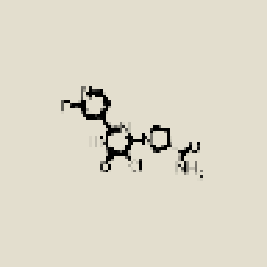 NC(=O)[C@H]1CCN(c2nc(-c3ccnc(F)c3)[nH]c(=O)c2Cl)C1